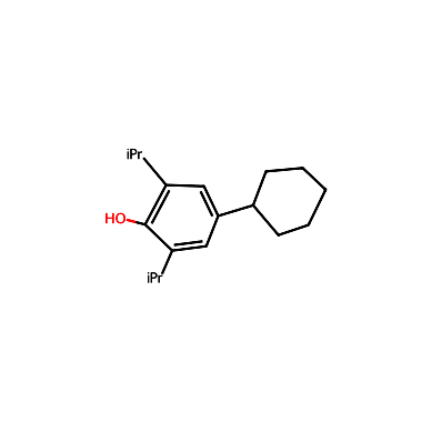 CC(C)c1cc(C2CCCCC2)cc(C(C)C)c1O